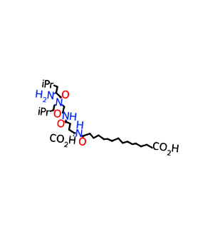 CC(C)C[C@H](N)C(=O)N(CCNC(=O)CC[C@H](NC(=O)CCCCCCCCCCCCCCC(=O)O)C(=O)O)CC(=O)C(C)C